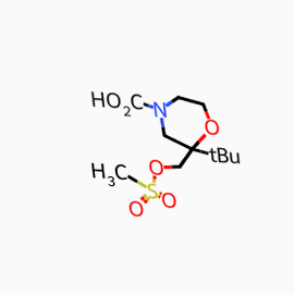 CC(C)(C)C1(COS(C)(=O)=O)CN(C(=O)O)CCO1